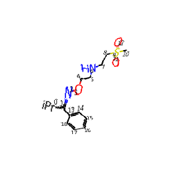 CC(C)/C(=N/OCCNCCS(C)(=O)=O)c1ccccc1